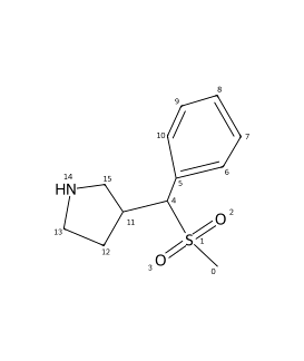 CS(=O)(=O)C(c1ccccc1)C1CCNC1